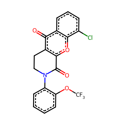 O=C1c2oc3c(Cl)cccc3c(=O)c2CCN1c1ccccc1OC(F)(F)F